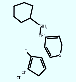 C1=CCSC=C1.FC1=CCC=C1.[Cl-].[Cl-].[Ti+2][SiH2]C1CCCCC1